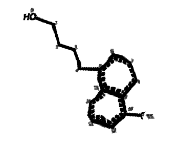 OCCCCc1cccc2c(F)cccc12